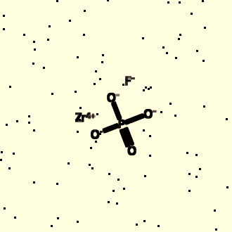 O=P([O-])([O-])[O-].[F-].[Zr+4]